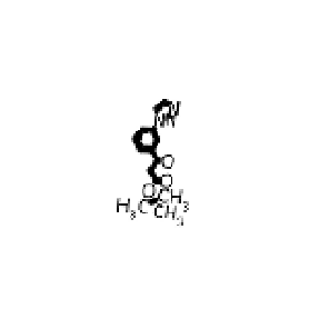 CC(C)(C)OC(=O)CC(=O)c1cccc(-n2ccnn2)c1